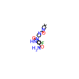 CC1(C)CCN(C(=O)CN2CCC(n3c(=O)[nH]c4cc(C(N)=O)c(F)cc43)CC2)CC1